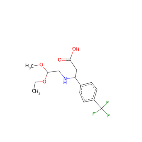 CCOC(CNC(CC(=O)O)c1ccc(C(F)(F)F)cc1)OC